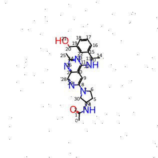 CC(=O)N[C@@H]1CCN(c2cc3c(N[C@H](C)c4cccc(CO)c4)nc(C)nc3cn2)C1